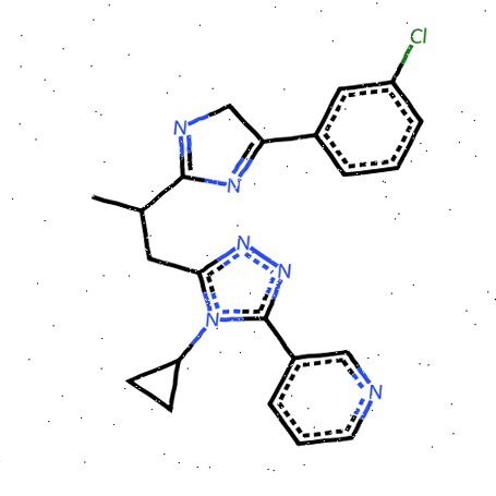 CC(Cc1nnc(-c2cccnc2)n1C1CC1)C1=NCC(c2cccc(Cl)c2)=N1